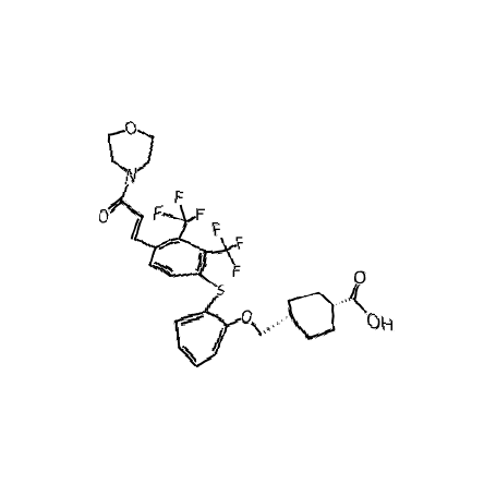 O=C(C=Cc1ccc(Sc2ccccc2OC[C@H]2CC[C@@H](C(=O)O)CC2)c(C(F)(F)F)c1C(F)(F)F)N1CCOCC1